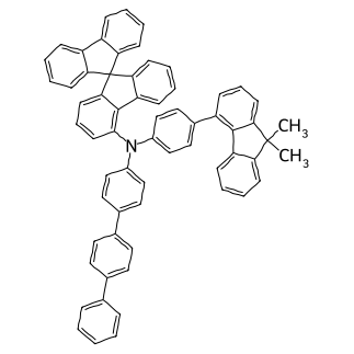 CC1(C)c2ccccc2-c2c(-c3ccc(N(c4ccc(-c5ccc(-c6ccccc6)cc5)cc4)c4cccc5c4-c4ccccc4C54c5ccccc5-c5ccccc54)cc3)cccc21